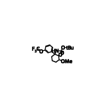 COC1CCCC(NC(=O)OC(C)(C)C)(c2cccc(OC(F)(F)F)c2)C1=O